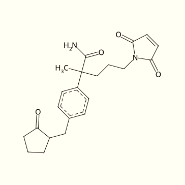 CC(CCCN1C(=O)C=CC1=O)(C(N)=O)c1ccc(CC2CCCC2=O)cc1